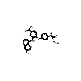 COC(=O)c1ccc(Sc2ccc(NC(=O)OC(C)(C)C)cc2)c(Nc2ccnc3cc(C(C)C)cnc23)c1